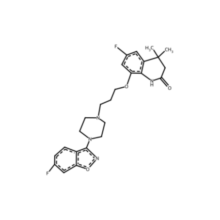 CC1(C)CC(=O)Nc2c(OCCCN3CCN(c4noc5cc(F)ccc45)CC3)cc(F)cc21